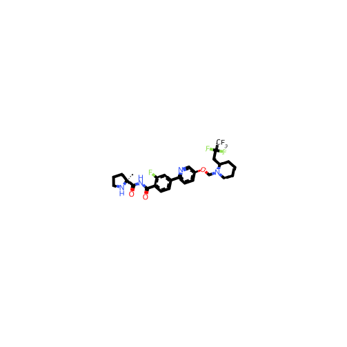 C[C@@]1(C(=O)NC(=O)c2ccc(-c3ccc(OCN4CCCCC4CC(F)(F)C(F)(F)F)cn3)cc2F)CCCN1